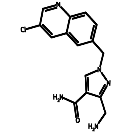 NCc1nn(Cc2ccc3ncc(Cl)cc3c2)cc1C(N)=O